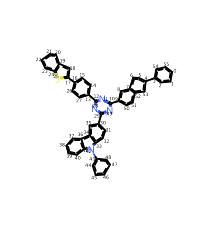 c1ccc(-c2ccc3cc(-c4nc(-c5ccc(-c6cc7ccccc7s6)cc5)nc(-c5ccc6c(c5)c5ccccc5n6-c5ccccc5)n4)ccc3c2)cc1